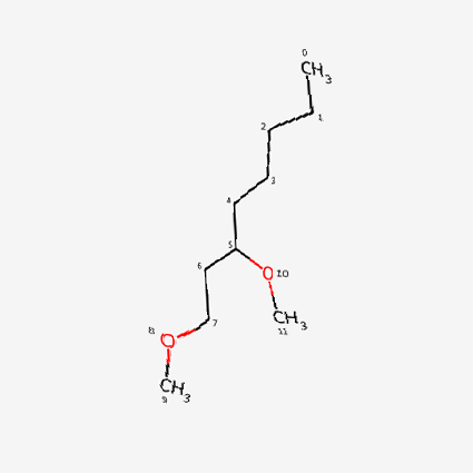 CCCCCC(CCOC)OC